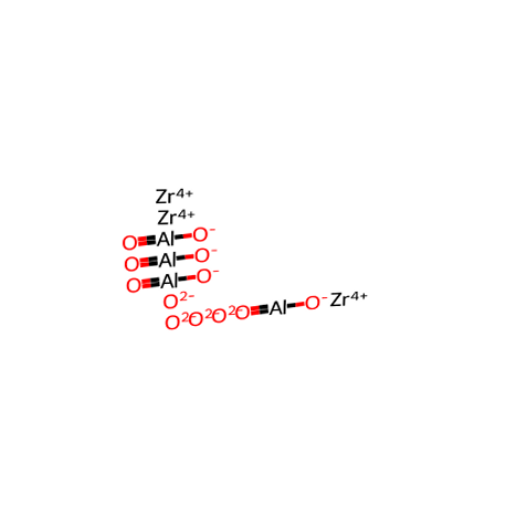 [O-2].[O-2].[O-2].[O-2].[O]=[Al][O-].[O]=[Al][O-].[O]=[Al][O-].[O]=[Al][O-].[Zr+4].[Zr+4].[Zr+4]